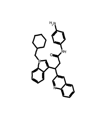 Nc1ccc(NC(=O)CC(c2cnc3ccccc3c2)c2cn(CC3CCCCC3)c3ccccc23)cc1